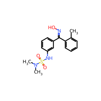 Cc1ccccc1C(=NO)c1cccc(NS(=O)(=O)N(C)C)c1